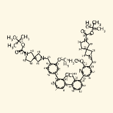 COc1cc(-c2nccc(-c3cccc(-c4ccc(CN5CC6(CCN(C(=O)OC(C)(C)C)C6)C5)c(OC)n4)c3Cl)c2Cl)ccc1CN1CC2(CCN(C(=O)OC(C)(C)C)C2)C1